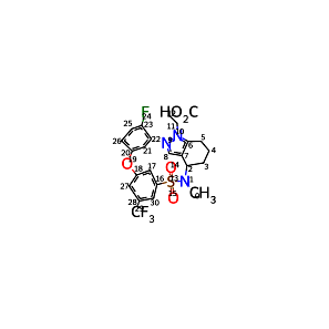 CN(C1CCCc2c1cnn2CC(=O)O)S(=O)(=O)c1cc(Oc2ccc(F)cc2)cc(C(F)(F)F)c1